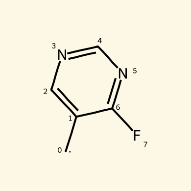 [CH2]c1cncnc1F